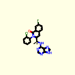 C[C@H](Nc1ncnc2[nH]cnc12)c1cc2ccc(F)cc2c(=O)n1-c1ccccc1Cl